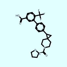 O=C(O)c1ccc(C(F)(F)F)c(-c2ccc(C3CC34CCN(C(=O)[C@H]3CCCO3)CC4)cc2)c1